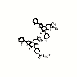 CCn1nnc(Cn2c(=O)n(C3CCN(C(=O)OC(C)(C)C)CC3)c(=O)c3sc(-c4ccccc4F)cc32)n1.CCn1nnc(Cn2c(=O)n(C3CCNCC3)c(=O)c3sc(-c4ccccc4F)cc32)n1.Cl